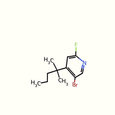 CCCC(C)(C)c1cc(F)ncc1Br